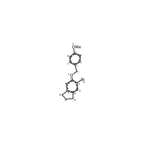 COc1ccc(COc2cc3c(cc2Br)CCC3)cc1